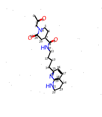 CC(=O)CN1CCC(C(=O)NCCCCc2ccc3c(n2)NCCC3)CC1=O